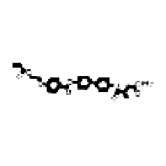 C=CC(=O)OCCOc1ccc(C(=O)Oc2ccc(-c3ccc(OC(=O)C(=C)CC(=O)OC)cc3)cc2)cc1